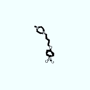 CN1CCN(CCCCOc2ccc([N+](=O)[O-])cc2)CC1